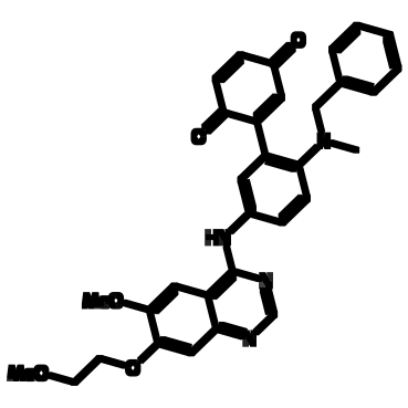 COCCOc1cc2ncnc(Nc3ccc(N(C)Cc4ccccc4)c(C4=CC(=O)C=CC4=O)c3)c2cc1OC